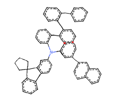 c1ccc(-c2ccccc2-c2ccccc2-c2ccccc2N(c2cccc(-c3ccc4ccccc4c3)c2)c2ccc3c(c2)C2(CCCC2)c2ccccc2-3)cc1